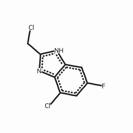 Fc1cc(Cl)c2nc(CCl)[nH]c2c1